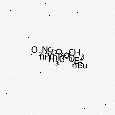 CCCCC(CC)COc1cc(C)c(-c2ccc3c(c2)C(CCC)(CCC)c2cc([N+](=O)[O-])ccc2-3)cc1C